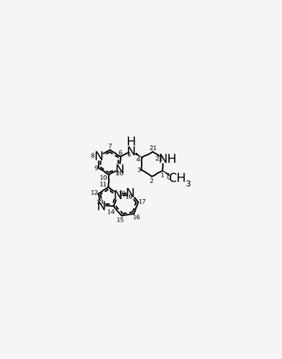 C[C@H]1CC[C@@H](Nc2cncc(-c3cnc4cccnn34)n2)CN1